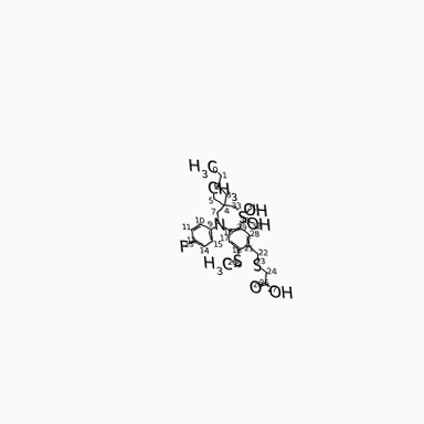 CCCCC1(CC)CN(c2ccc(F)cc2)c2cc(SC)c(CSCC(=O)O)cc2S(O)(O)C1